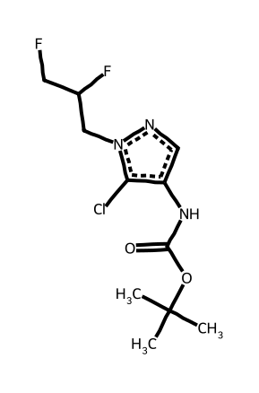 CC(C)(C)OC(=O)Nc1cnn(CC(F)CF)c1Cl